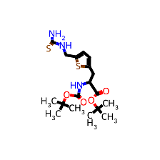 CC(C)(C)OC(=O)NC(Cc1ccc(CNC(N)=S)s1)C(=O)OC(C)(C)C